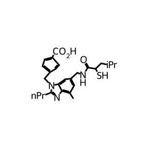 CCCc1nc2c(C)cc(CNC(=O)C(S)CC(C)C)cc2n1Cc1ccc(C(=O)O)cc1